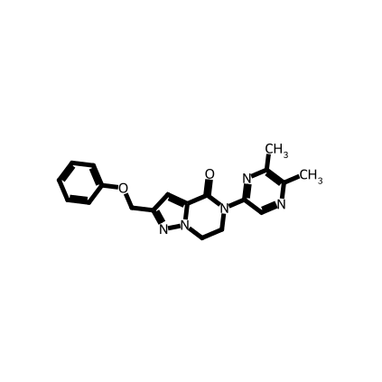 Cc1ncc(N2CCn3nc(COc4ccccc4)cc3C2=O)nc1C